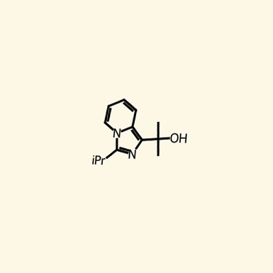 CC(C)c1nc(C(C)(C)O)c2ccccn12